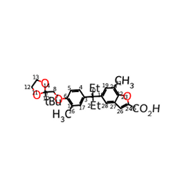 CCC(CC)(c1ccc(OCC2(C(C)(C)C)OCCO2)c(C)c1)c1cc(C)c2oc(C(=O)O)cc2c1